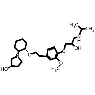 COc1cc(CCO[C@H]2CCCCC2N2CC[C@@H](O)C2)ccc1OCC(O)CNC(C)C